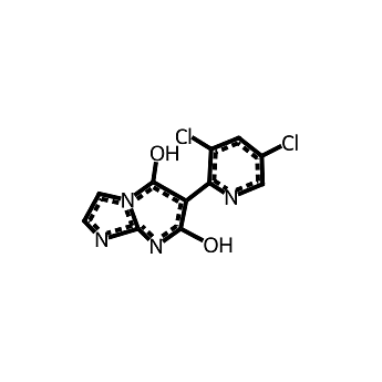 Oc1nc2nccn2c(O)c1-c1ncc(Cl)cc1Cl